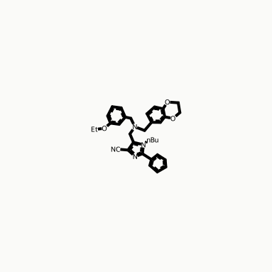 CCCCn1c(-c2ccccc2)nc(C#N)c1CN(Cc1cccc(OCC)c1)Cc1ccc2c(c1)OCCO2